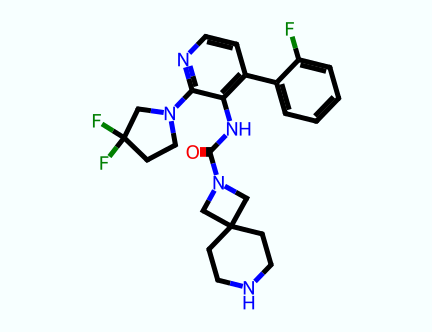 O=C(Nc1c(-c2ccccc2F)ccnc1N1CCC(F)(F)C1)N1CC2(CCNCC2)C1